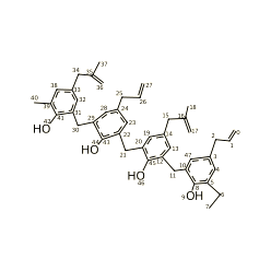 C=CCc1cc(CC)c(O)c(Cc2cc(CC(=C)C)cc(Cc3cc(CC=C)cc(Cc4cc(CC(=C)C)cc(C)c4O)c3O)c2O)c1